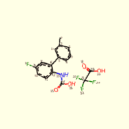 Cc1cccc(-c2cc(F)ccc2NC(=O)O)c1.O=C(O)C(F)(F)F